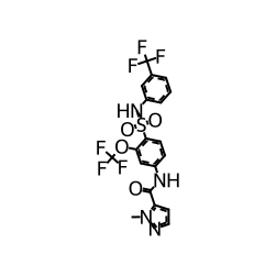 Cn1nccc1C(=O)Nc1ccc(S(=O)(=O)Nc2cccc(C(F)(F)F)c2)c(OC(F)(F)F)c1